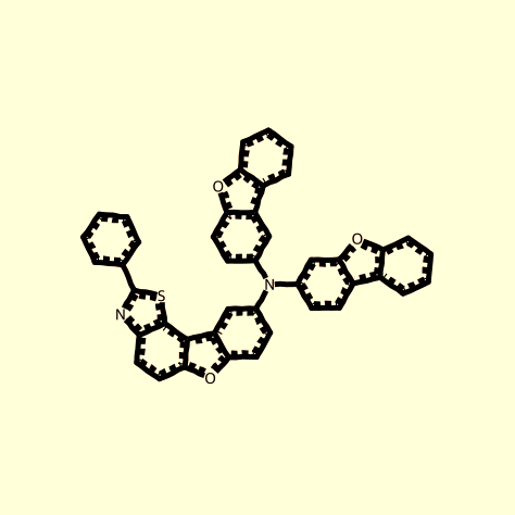 c1ccc(-c2nc3ccc4oc5ccc(N(c6ccc7c(c6)oc6ccccc67)c6ccc7oc8ccccc8c7c6)cc5c4c3s2)cc1